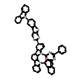 c1ccc(-c2nc(-c3ccccc3)nc(-n3c4ccc(-c5ncc6c(n5)sc5ccc(-n7c8ccccc8c8ccccc87)cc56)cc4c4ccc5c6ccccc6n(-c6ccccc6)c5c43)n2)cc1